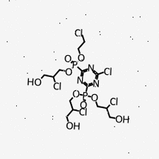 O=P(OCCCl)(OCC(Cl)CO)c1nc(Cl)nc(P(=O)(OCC(Cl)CO)OCC(Cl)CO)n1